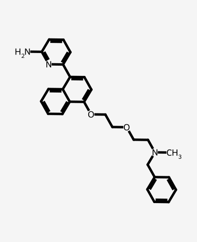 CN(CCOCCOc1ccc(-c2cccc(N)n2)c2ccccc12)Cc1ccccc1